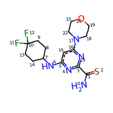 NC(=S)c1nc(NC2CCC(F)(F)CC2)cc(N2CCOCC2)n1